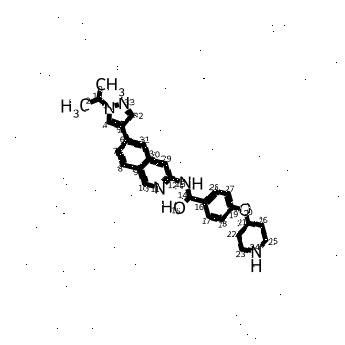 CC(C)n1cc(-c2ccc3cnc(NC(O)c4ccc(OC5CCNCC5)cc4)cc3c2)cn1